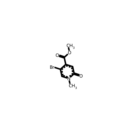 COC(=O)c1cc(=O)n(C)cc1Br